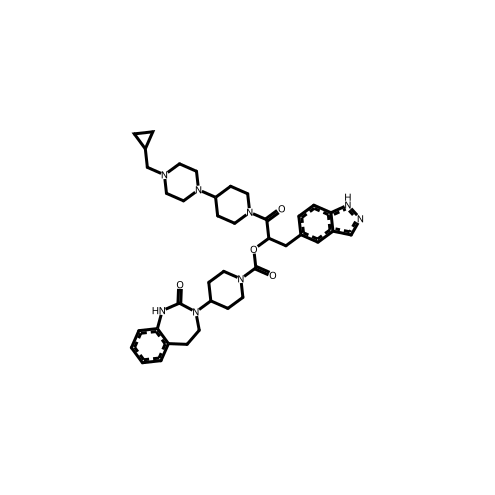 O=C(OC(Cc1ccc2[nH]ncc2c1)C(=O)N1CCC(N2CCN(CC3CC3)CC2)CC1)N1CCC(N2CCc3ccccc3NC2=O)CC1